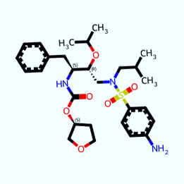 CC(C)CN(C[C@@H](OC(C)C)[C@H](Cc1ccccc1)NC(=O)O[C@H]1CCOC1)S(=O)(=O)c1ccc(N)cc1